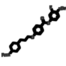 CCCCCCCCCCc1ccc(OC(=O)c2ccc(OCCCC3CCC(CCCCC)CC3)cc2)cc1F